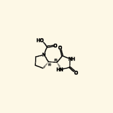 O=C1NC(=O)[C@@H]([C@@H]2CCCN2C(=O)O)N1